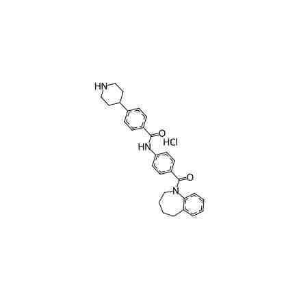 Cl.O=C(Nc1ccc(C(=O)N2CCCCc3ccccc32)cc1)c1ccc(C2CCNCC2)cc1